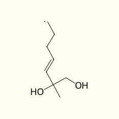 [CH2]CCC=CC(C)(O)CO